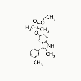 CCOC(=O)C(C)(C)Oc1ccc2[nH]c(C)c(-c3cccc(C)c3)c2c1